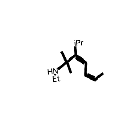 C/C=C\C=C(\C(C)C)C(C)(C)NCC